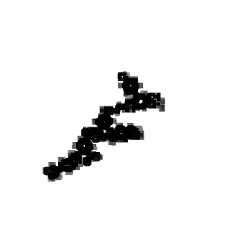 CC1(C)CCC(CNCCNc2ccc(C(=O)NS(=O)(=O)c3ccc(NCC4CCN(C5CCOC5)C4)c([N+](=O)[O-])c3)c(-n3ncc4nc5[nH]ccc5cc43)c2)=C(c2ccc(Cl)cc2)C1